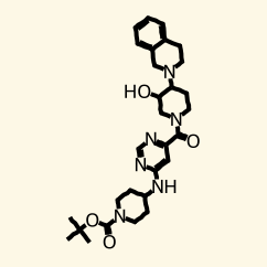 CC(C)(C)OC(=O)N1CCC(Nc2cc(C(=O)N3CCC(N4CCc5ccccc5C4)C(O)C3)ncn2)CC1